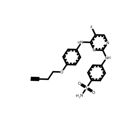 C#CCCOc1ccc(Nc2nc(Nc3ccc(S(N)(=O)=O)cc3)ncc2F)cc1